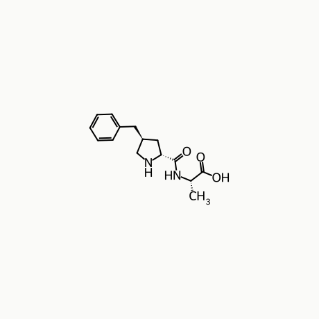 C[C@H](NC(=O)[C@H]1C[C@H](Cc2ccccc2)CN1)C(=O)O